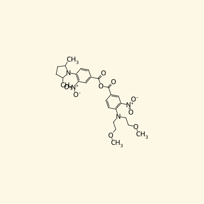 COCCN(CCOC)c1ccc(C(=O)OC(=O)c2ccc(N3C(C)CCC3C)c([N+](=O)[O-])c2)cc1[N+](=O)[O-]